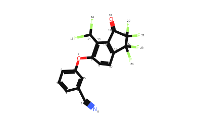 N#Cc1cccc(Oc2ccc3c(c2C(F)F)C(=O)C(F)(F)C3(F)F)c1